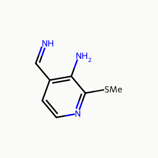 CSc1nccc(C=N)c1N